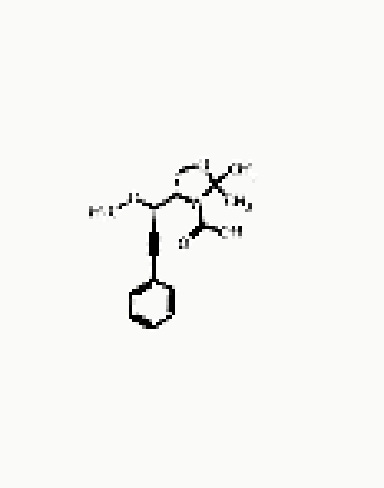 CO[C@H](C#Cc1ccccc1)[C@@H]1COC(C)(C)N1C(=O)O